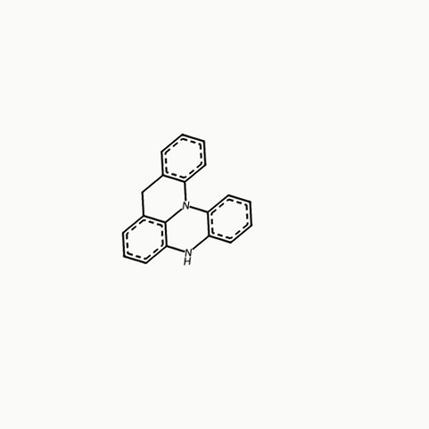 c1ccc2c(c1)Cc1cccc3c1N2c1ccccc1N3